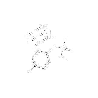 Cc1ccc(OP(O)(O)=S)cc1.N=C=O.N=C=O.N=C=O